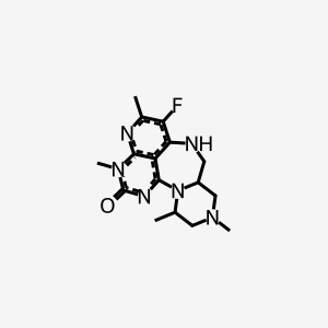 Cc1nc2c3c(nc(=O)n2C)N2C(C)CN(C)CC2CNc3c1F